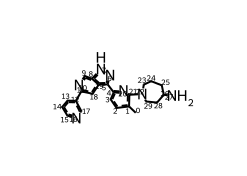 Cc1ccc(-c2n[nH]c3cnc(-c4cccnc4)cc23)nc1N1CCCC(N)CC1